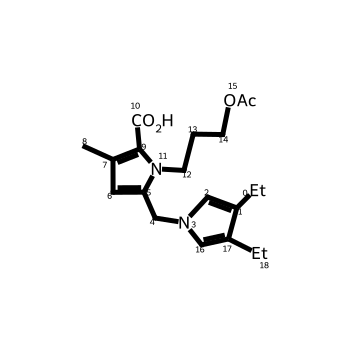 CCc1cn(Cc2cc(C)c(C(=O)O)n2CCCOC(C)=O)cc1CC